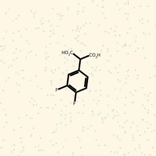 O=C(O)C(C(=O)O)c1ccc(F)c(F)c1